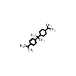 CC(C)c1ccc(C(C)(C)C2CCC(C(C)C)CC2)cc1